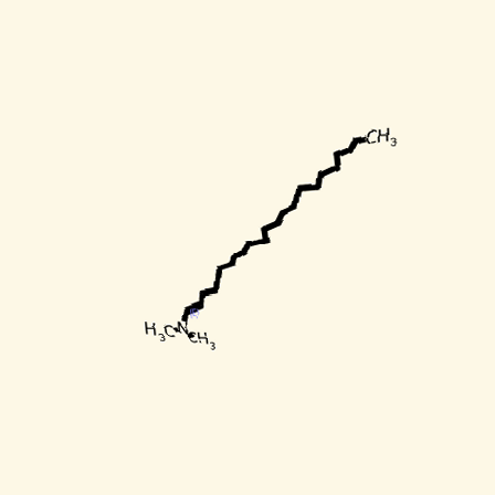 CCCCCCCCCCCCCCCCCCCC/C=C/N(C)C